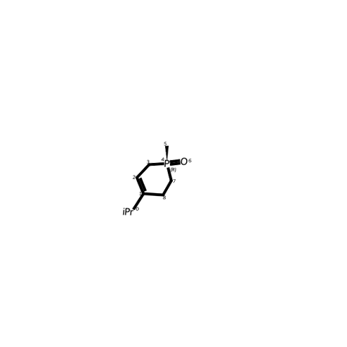 CC(C)C1=CC[P@](C)(=O)CC1